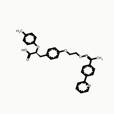 C/C(=N/OCCOc1ccc(C[C@H](Oc2ccc(C)cc2)C(=O)O)cc1)c1ccc(-c2ccccn2)cc1